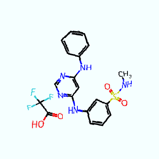 CNS(=O)(=O)c1cccc(Nc2cc(Nc3ccccc3)ncn2)c1.O=C(O)C(F)(F)F